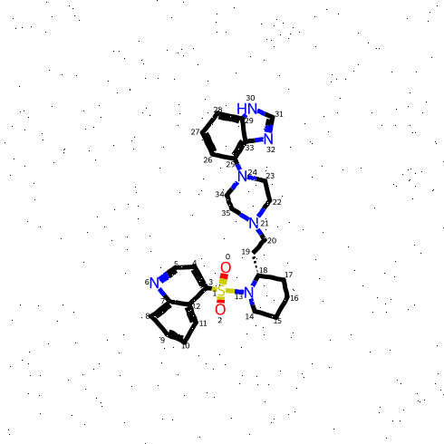 O=S(=O)(c1ccnc2ccccc12)N1CCCC[C@H]1CCN1CCN(c2cccc3[nH]cnc23)CC1